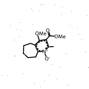 COC(=O)c1c(OC)c2c([n+]([O-])c1C)CCCCC2